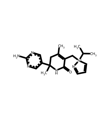 CC1=C(C[N+]2(C(C)C)C=CC=N2)C(=O)NC(C)(c2cnc(N)nc2)C1